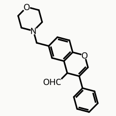 O=CC1C(c2ccccc2)=COc2ccc(CN3CCOCC3)cc21